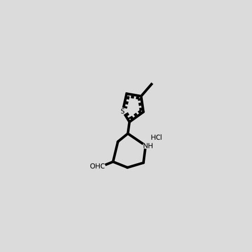 Cc1csc(C2CC(C=O)CCN2)c1.Cl